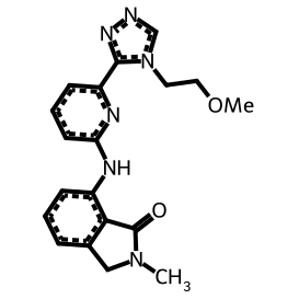 COCCn1cnnc1-c1cccc(Nc2cccc3c2C(=O)N(C)C3)n1